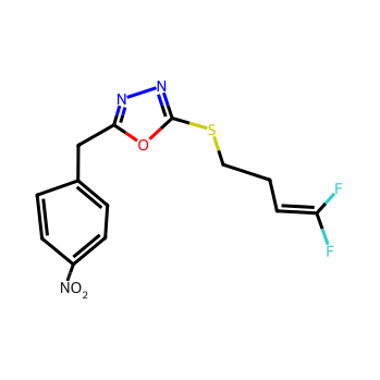 O=[N+]([O-])c1ccc(Cc2nnc(SCCC=C(F)F)o2)cc1